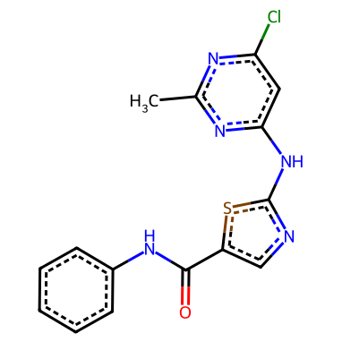 Cc1nc(Cl)cc(Nc2ncc(C(=O)Nc3ccccc3)s2)n1